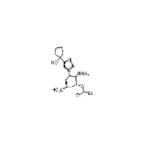 CCC(CC)OC1CC(C(=O)O)=CC(n2cc(C3(O)CCCC3)nn2)C1NC(C)=O